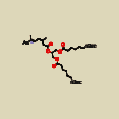 CCCCCCCCCCCCCCCC(=O)OCC(COC(=O)CCCCCCCCCCCCCCC)OC(=O)CC(C)C/C=C(\C)C(C)=O